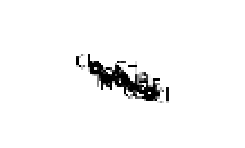 CCN1C[C@@H](NC(=O)COc2ccc(Cl)c(F)c2)CC[C@@H]1c1nnc(-c2ccc(Cl)cc2)o1